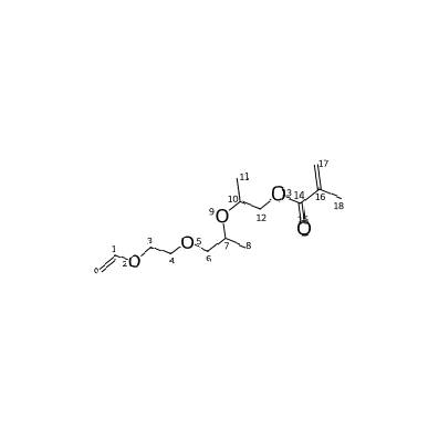 C=COCCOCC(C)OC(C)COC(=O)C(=C)C